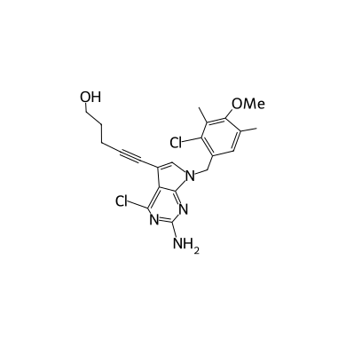 COc1c(C)cc(Cn2cc(C#CCCCO)c3c(Cl)nc(N)nc32)c(Cl)c1C